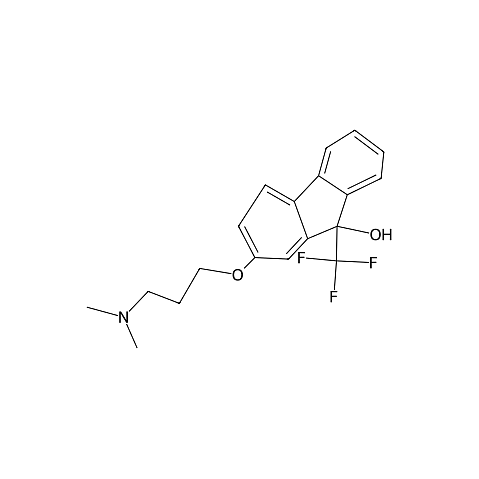 CN(C)CCCOc1ccc2c(c1)C(O)(C(F)(F)F)c1ccccc1-2